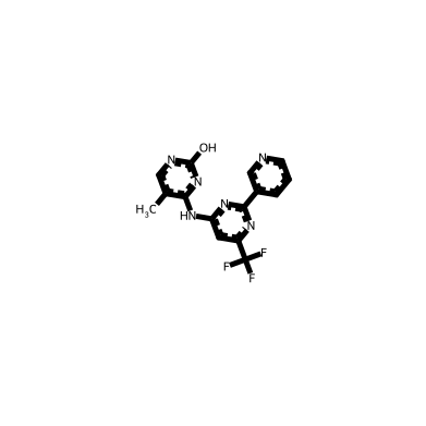 Cc1cnc(O)nc1Nc1cc(C(F)(F)F)nc(-c2cccnc2)n1